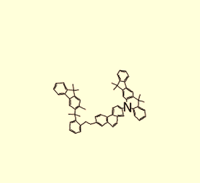 Cc1cc2c(cc1C(C)(C)c1ccccc1CCc1ccc3c(ccc4cc(N5c6ccccc6C(C)(C)c6cc7c(cc65)C(C)(C)c5ccccc5-7)ccc43)c1)-c1ccccc1C2(C)C